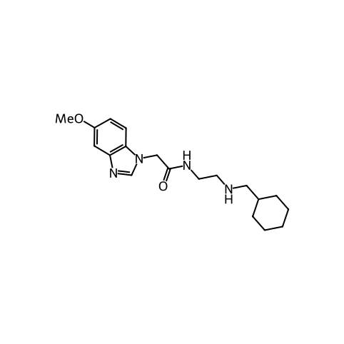 COc1ccc2c(c1)ncn2CC(=O)NCCNCC1CCCCC1